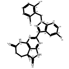 CC12CCC(=O)Nc3nc(-c4nn(Cc5c(F)cccc5F)c5ncc(F)cc45)nc(c31)NC2=O